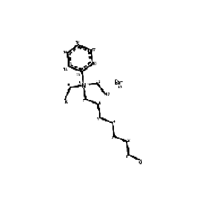 CCCCCCCC[N+](CC)(CC)c1ccccc1.[Br-]